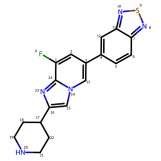 Fc1cc(-c2ccc3nsnc3c2)cn2cc(C3CCNCC3)nc12